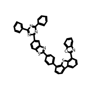 c1ccc(-c2nc(-c3ccccc3)nc(-c3ccc4sc(-c5ccc(-c6cccc7c6sc6c(-c8nc9ccccc9o8)cccc67)cc5)nc4c3)n2)cc1